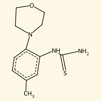 Cc1ccc(N2CCOCC2)c(NC(N)=S)c1